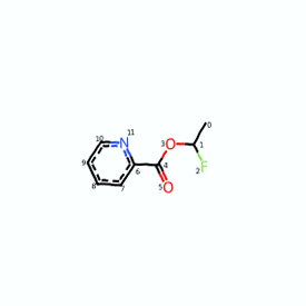 CC(F)OC(=O)c1ccccn1